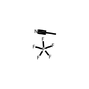 CC#N.FP(F)(F)(F)F